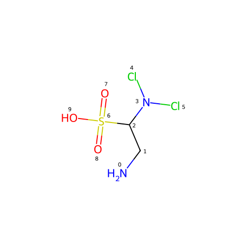 NCC(N(Cl)Cl)S(=O)(=O)O